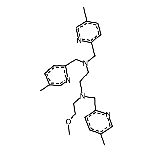 COCCN(CCN(Cc1ccc(C)cn1)Cc1ccc(C)cn1)Cc1ccc(C)cn1